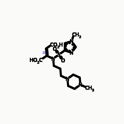 CN1CCN(CCCN(/C(=C\C(=O)O)C(=O)O)S(=O)(=O)c2cn(C)cn2)CC1